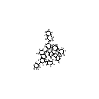 c1ccc(-c2cc(-c3ccccc3)c3sc4c(N(c5ccc(-c6ccc7ccccc7c6)cc5)c5ccc6c(c5)C(c5ccccc5)(c5ccccc5)c5ccccc5-6)cccc4c3c2)cc1